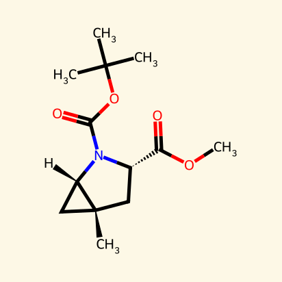 COC(=O)[C@@H]1C[C@]2(C)C[C@@H]2N1C(=O)OC(C)(C)C